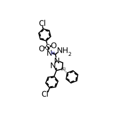 N/C(=N\S(=O)(=O)c1ccc(Cl)cc1)N1C[C@H](c2ccccc2)C(c2ccc(Cl)cc2)=N1